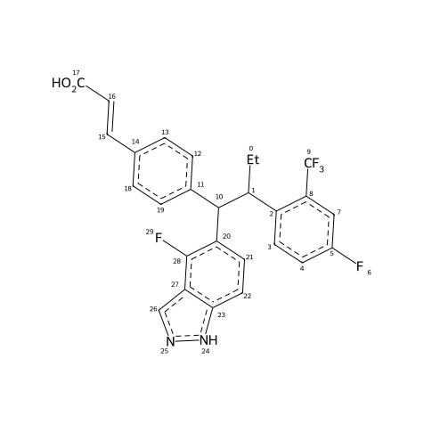 CCC(c1ccc(F)cc1C(F)(F)F)C(c1ccc(C=CC(=O)O)cc1)c1ccc2[nH]ncc2c1F